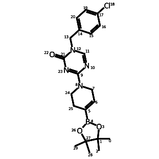 CC1(C)OB(C2=CCN(c3ncn(Cc4ccc(Cl)cc4)c(=O)n3)CC2)OC1(C)C